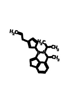 C=CCC1=CC(B2C3=CCc4cccc(c43)C(C)N2C(C)C)C=C1